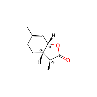 CC1=C[C@@H]2OC(=O)[C@@H](C)[C@@H]2CC1